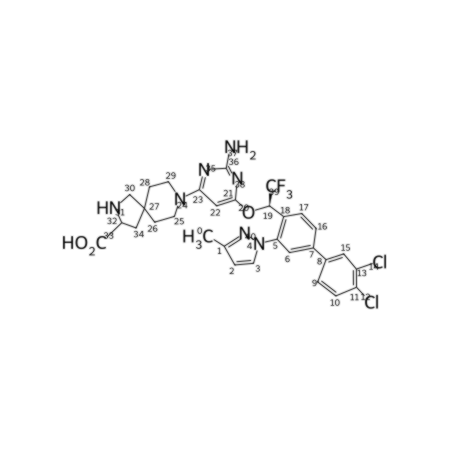 Cc1ccn(-c2cc(-c3ccc(Cl)c(Cl)c3)ccc2[C@@H](Oc2cc(N3CCC4(CC3)CNC(C(=O)O)C4)nc(N)n2)C(F)(F)F)n1